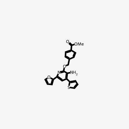 COC(=O)c1ccc(COc2nc(-c3ccco3)cc(-c3cccs3)c2N)cc1